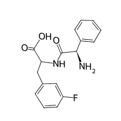 N[C@@H](C(=O)NC(Cc1cccc(F)c1)C(=O)O)c1ccccc1